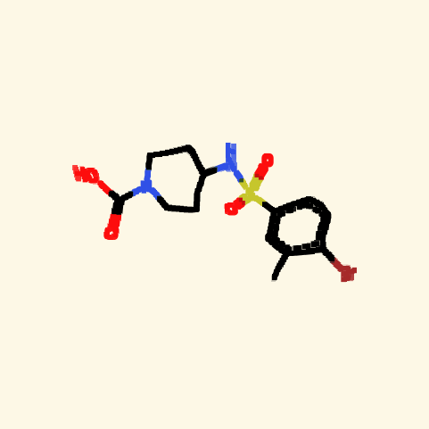 Cc1cc(S(=O)(=O)NC2CCN(C(=O)O)CC2)ccc1Br